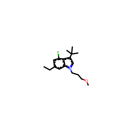 CCc1cc(F)c2c(C(C)(C)C)cn(CCCOC)c2c1